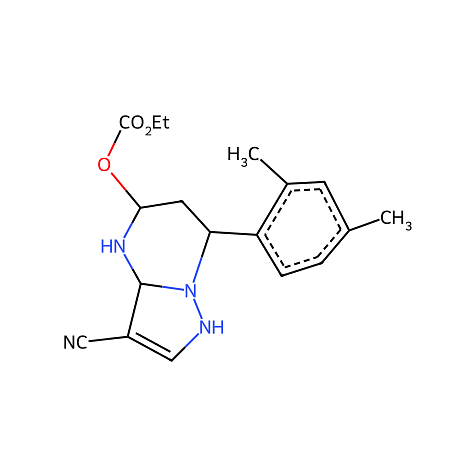 CCOC(=O)OC1CC(c2ccc(C)cc2C)N2NC=C(C#N)C2N1